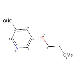 COCCOc1cncc(C=O)c1